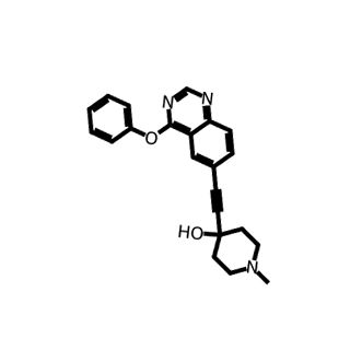 CN1CCC(O)(C#Cc2ccc3ncnc(Oc4ccccc4)c3c2)CC1